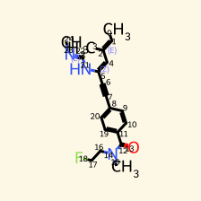 C/C=C(C)/C=C(/C#Cc1ccc(C(=O)N(C)CCF)cc1)N/C=N/C